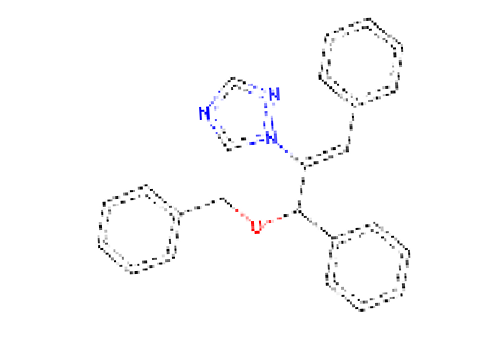 C(=C(C(OCc1ccccc1)c1ccccc1)n1cncn1)c1ccccc1